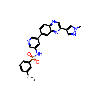 Cn1cc(-c2cnc3ccc(-c4cncc(NS(=O)(=O)c5cccc(C(F)(F)F)c5)c4)cc3n2)cn1